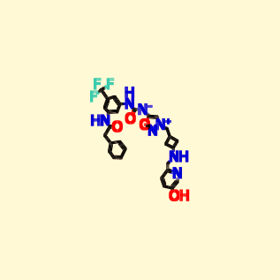 O=C(Cc1ccccc1)Nc1cc(NC(=O)[N-]c2c[n+](CC3CC(NCc4ccc(O)cn4)C3)no2)cc(C(F)(F)F)c1